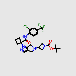 CC(C)(C)OC(=O)N1CC(N2Cc3cnn(C4(C(=O)Nc5ccc(C(F)(F)F)cc5Cl)CCC4)c3C2)C1